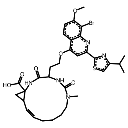 COc1ccc2c(OCCC3NC(=O)N(C)CCCC/C=C\C4CC4(C(=O)O)NC3=O)cc(-c3nc(C(C)C)cs3)nc2c1Br